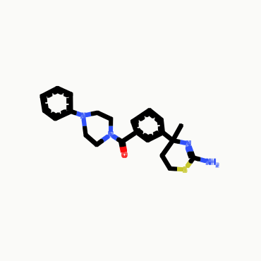 CC1(c2cccc(C(=O)N3CCN(c4ccccc4)CC3)c2)CCSC(N)=N1